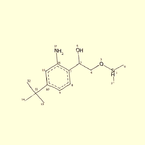 C[SiH](C)OCC(O)c1ccc(C(C)(C)C)cc1N